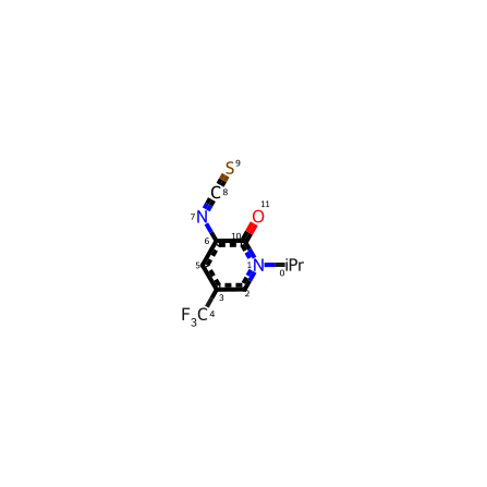 CC(C)n1cc(C(F)(F)F)cc(N=C=S)c1=O